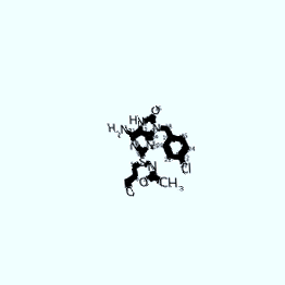 CC(=O)N=S(CCC=O)c1nc(N)c2[nH]c(=O)n(Cc3ccc(Cl)cc3)c2n1